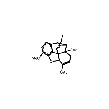 COc1ccc2c3c1OC1C(OC(C)=O)=CCC4(OC(C)=O)C(C2)N(C)CCC314